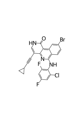 O=c1[nH]cc(C#CC2CC2)c2nc(Nc3c(F)cc(F)cc3Cl)c3ccc(Br)cc3c12